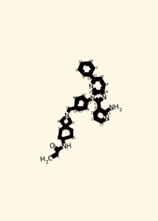 C=CC(=O)NC1CCC2(CC1)CN(Cc1ccc(-n3c(-c4cccnc4N)nc4ccc(-c5ccccc5)nc43)cc1)C2